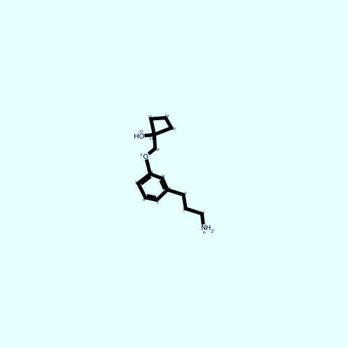 NCCCc1cccc(OCC2(O)CCC2)c1